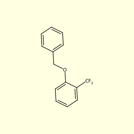 FC(F)(F)c1cc[c]cc1OCc1ccccc1